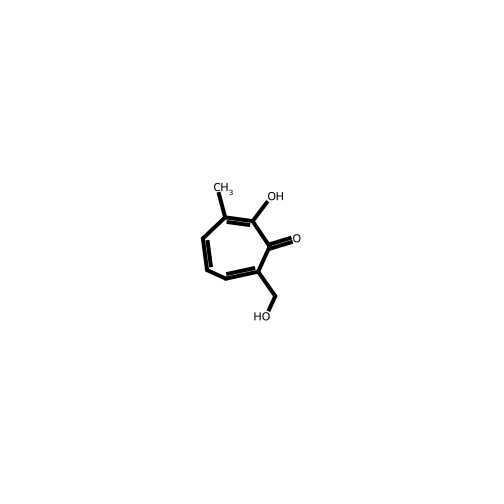 Cc1cccc(CO)c(=O)c1O